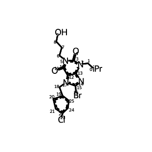 CC(C)Cn1c(=O)n(CCCO)c(=O)c2c1nc(Br)n2Cc1ccc(Cl)cc1